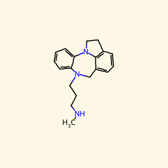 CNCCCN1Cc2cccc3c2N(CC3)c2ccccc21